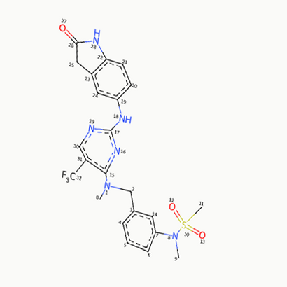 CN(Cc1cccc(N(C)S(C)(=O)=O)c1)c1nc(Nc2ccc3c(c2)CC(=O)N3)ncc1C(F)(F)F